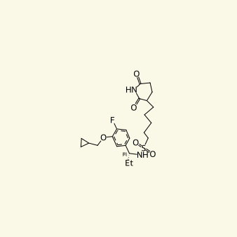 CC[C@@H](NS(=O)(=O)CCCCCC1CCC(=O)NC1=O)c1ccc(F)c(OCC2CC2)c1